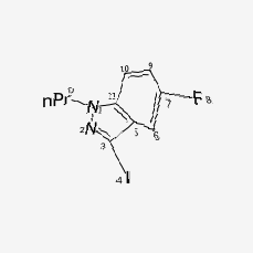 CCCn1nc(I)c2cc(F)ccc21